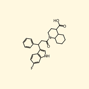 O=C(O)C1CCN(C(=O)CC(c2ccccc2)c2c[nH]c3cc(F)ccc23)C2CCCCC12